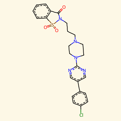 O=C1c2ccccc2S(=O)(=O)N1CCCN1CCN(c2ncc(-c3ccc(Cl)cc3)cn2)CC1